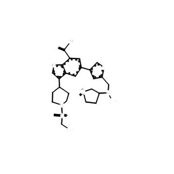 CCS(=O)(=O)N1CCC(c2c[nH]c3c(C(N)=O)cc(-c4csc(CN(C)C5CCS(=O)(=O)C5)c4)cc23)CC1